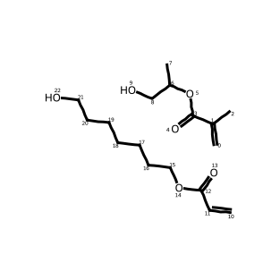 C=C(C)C(=O)OC(C)CO.C=CC(=O)OCCCCCCCO